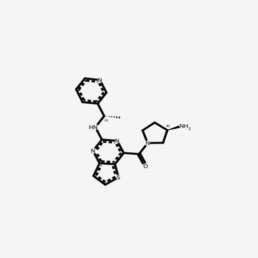 C[C@H](Nc1nc(C(=O)N2CC[C@@H](N)C2)c2sccc2n1)c1cccnc1